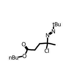 CCCCOC(=O)CCC(C)(Cl)/N=N/C(C)(C)C